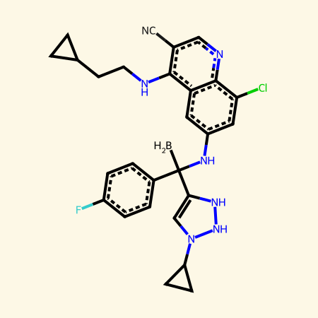 BC(Nc1cc(Cl)c2ncc(C#N)c(NCCC3CC3)c2c1)(C1=CN(C2CC2)NN1)c1ccc(F)cc1